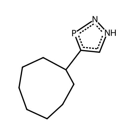 c1[nH]npc1C1CCCCCCC1